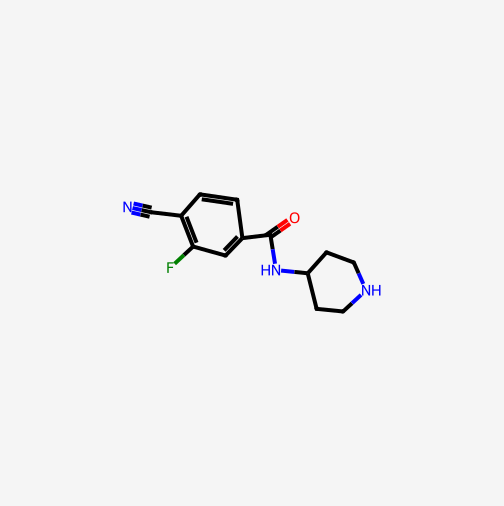 N#Cc1ccc(C(=O)NC2CCNCC2)cc1F